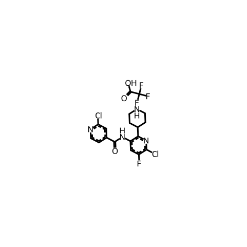 O=C(Nc1cc(F)c(Cl)nc1C1CCNCC1)c1ccnc(Cl)c1.O=C(O)C(F)(F)F